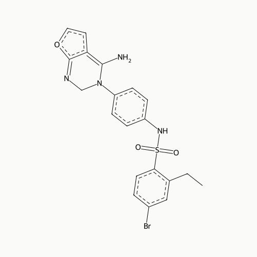 CCc1cc(Br)ccc1S(=O)(=O)Nc1ccc(N2CN=c3occc3=C2N)cc1